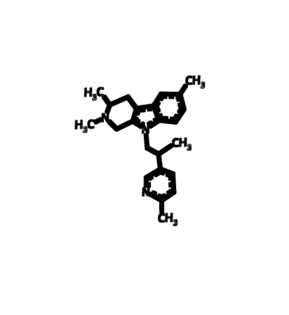 Cc1ccc2c(c1)c1c(n2CC(C)c2ccc(C)nc2)CN(C)C(C)C1